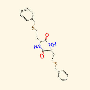 O=C1NC(CCSCc2ccccc2)C(=O)NC1CCSCc1ccccc1